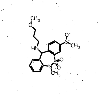 COCCCNC1c2ccccc2N(C)S(=O)(=O)c2cc([S+](C)[O-])ccc21